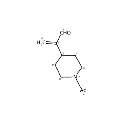 C=C(C=O)C1CCN(C(C)=O)CC1